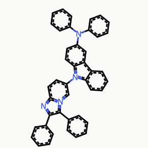 c1ccc(-c2nc3ccc(-n4c5ccccc5c5cc(N(c6ccccc6)c6ccccc6)ccc54)cn3c2-c2ccccc2)cc1